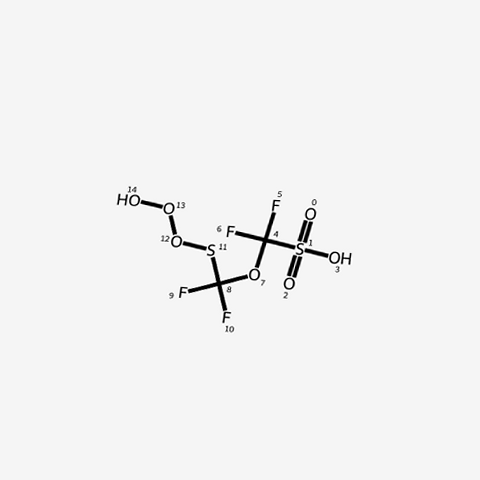 O=S(=O)(O)C(F)(F)OC(F)(F)SOOO